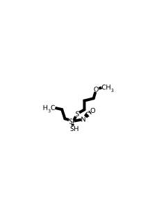 CCC[Si](S)(N=C=O)SCCCOC